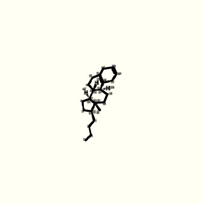 CCCC[C@H]1CC[C@H]2[C@@H]3CCC4=C(CC=[C]C4)[C@H]3CC[C@]12C